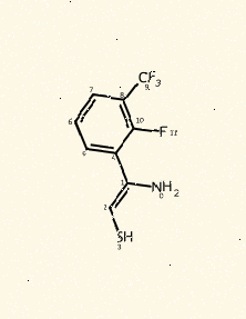 N/C(=C\S)c1cccc(C(F)(F)F)c1F